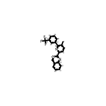 Cc1ccc(-c2ncc3ccccc3n2)nc1-c1cccc(C(F)(F)F)c1